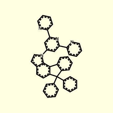 c1ccc(C2(c3ccccc3)c3ccccc3-c3c2ccc2ccn(-c4cc(-c5ccccn5)nc(-c5ccccn5)c4)c32)cc1